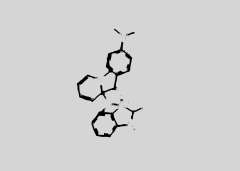 CCC1N(C(=O)O)c2ccc3cc2[N+]1(C(=O)O)N3C1(C(=O)c2ccc(N(C)C)cc2)C=CC=CN1CCC(=O)O